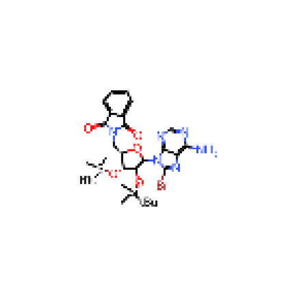 CC(C)(C)[Si](C)(C)OC1[C@H](n2c(Br)nc3c(N)ncnc32)O[C@H](CN2C(=O)c3ccccc3C2=O)[C@H]1O[Si](C)(C)C(C)(C)C